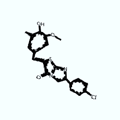 COc1cc(/C=c2\sc3nc(-c4ccc(Cl)cc4)cn3c2=O)cc(C)c1O